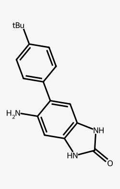 CC(C)(C)c1ccc(-c2cc3[nH]c(=O)[nH]c3cc2N)cc1